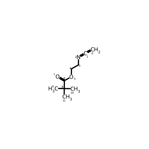 C=C=NCCOC(=O)C(C)(C)C